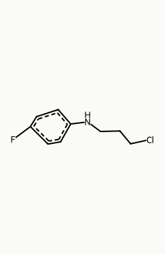 Fc1ccc(NCCCCl)cc1